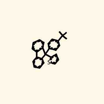 CC(C)(C)c1ccc(C2(c3cccs3)c3ccccc3-c3ccccc32)cc1